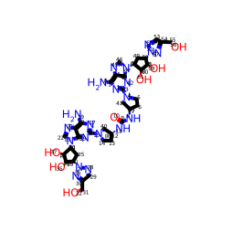 Nc1nc(N2CC[C@@H](NC(=O)N[C@@H]3CCN(c4nc(N)c5ncn([C@@H]6C[C@H](n7ncc(CO)n7)[C@@H](O)[C@H]6O)c5n4)C3)C2)nc2c1ncn2[C@@H]1C[C@H](n2ncc(CO)n2)[C@@H](O)[C@H]1O